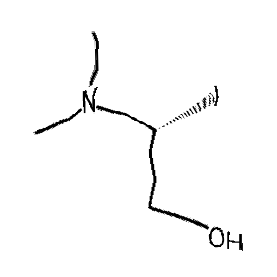 CN(C)[C@H](I)CO